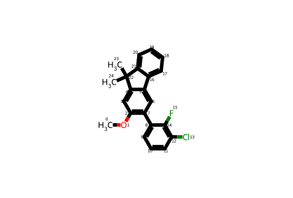 COc1cc2c(cc1-c1cccc(Cl)c1F)-c1ccccc1C2(C)C